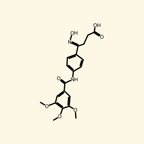 COc1cc(C(=O)Nc2ccc(C(CCC(=O)O)=NO)cc2)cc(OC)c1OC